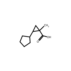 CC1(C(=O)O)CC1C1CCCC1